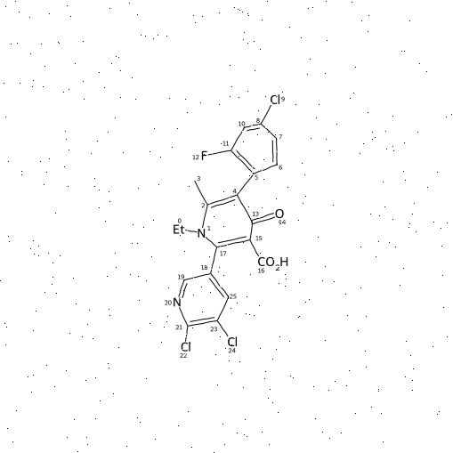 CCn1c(C)c(-c2ccc(Cl)cc2F)c(=O)c(C(=O)O)c1-c1cnc(Cl)c(Cl)c1